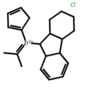 C[C](C)=[Zr+2]([C]1=CC=CC1)[CH]1C2C=CC=CC2C2CCCCC21.[Cl-].[Cl-]